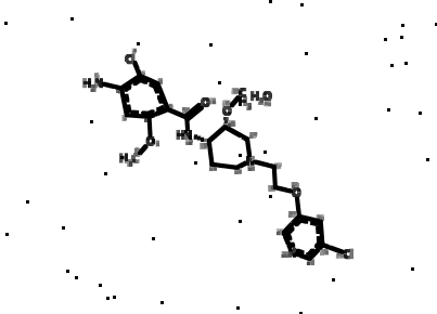 COc1cc(N)c(Cl)cc1C(=O)N[C@H]1CCN(CCOc2cncc(Cl)c2)C[C@H]1OC.O